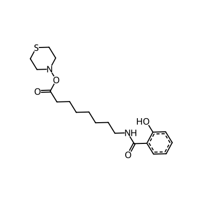 O=C(CCCCCCCNC(=O)c1ccccc1O)ON1CCSCC1